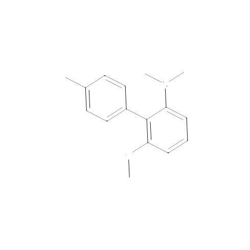 [CH2]c1ccc(-c2c(OC)cccc2N(C)C)cc1